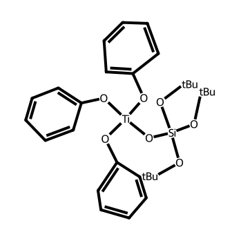 CC(C)(C)O[Si](OC(C)(C)C)(OC(C)(C)C)[O][Ti]([O]c1ccccc1)([O]c1ccccc1)[O]c1ccccc1